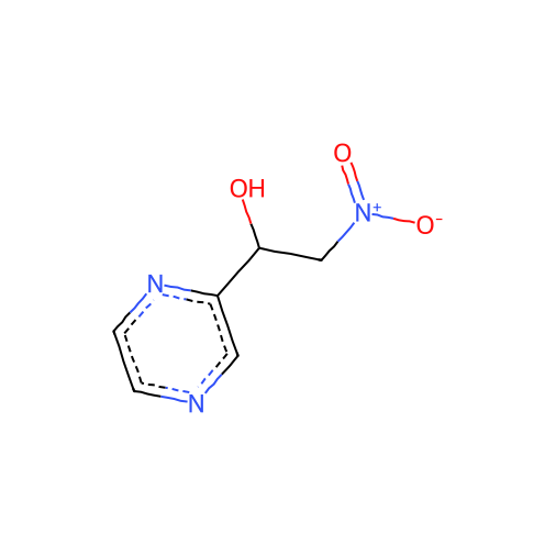 O=[N+]([O-])CC(O)c1cnccn1